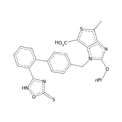 CCCOc1nc2c(C)sc(C(=O)O)c2n1Cc1ccc(-c2ccccc2-c2nc(=S)o[nH]2)cc1